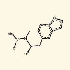 CC[C@H](Cc1ccc2occc2c1)N(C)[S+]([O-])C(C)(C)C